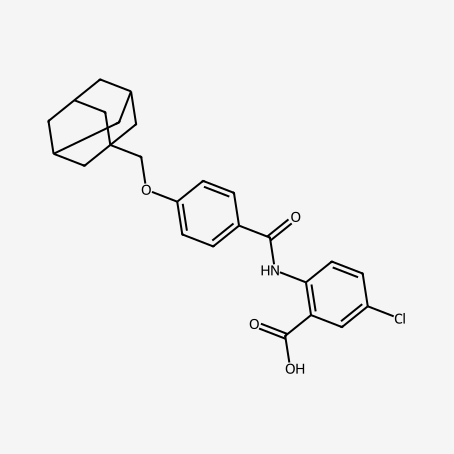 O=C(Nc1ccc(Cl)cc1C(=O)O)c1ccc(OCC23CC4CC(CC(C4)C2)C3)cc1